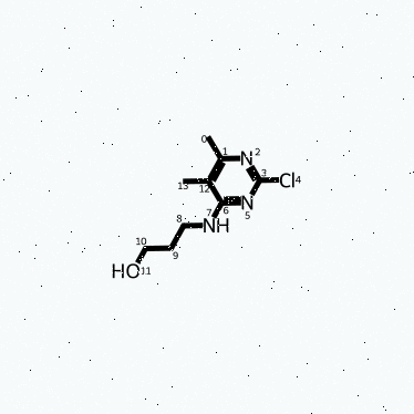 Cc1nc(Cl)nc(NCCCO)c1C